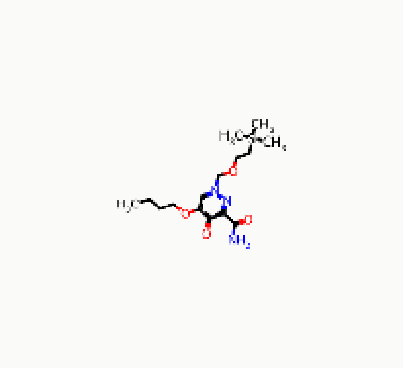 CCCCOc1cn(COCC[Si](C)(C)C)nc(C(N)=O)c1=O